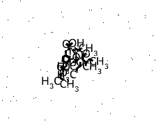 CCC(C)COC(=O)Oc1ccc(C[C@H](NCC(C)OC(=O)CC(C)CC)C(=O)O)cc1OC(=O)OCC(C)CC